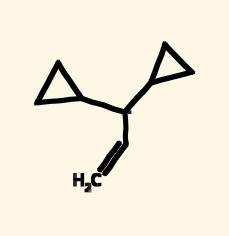 C=C[C](C1CC1)C1CC1